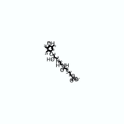 Cc1cc(OCC(O)CNCCNC(=O)CSCCO[N+](=O)[O-])c(C)c(C)c1O